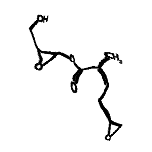 CC(=CCC1CO1)C(=O)OC1OC1CO